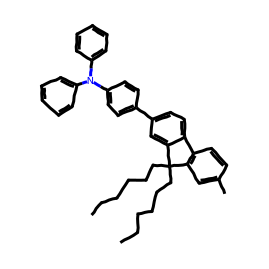 CCCCCCC1(CCCCCC)c2cc(C)ccc2-c2ccc(-c3ccc(N(c4ccccc4)c4ccccc4)cc3)cc21